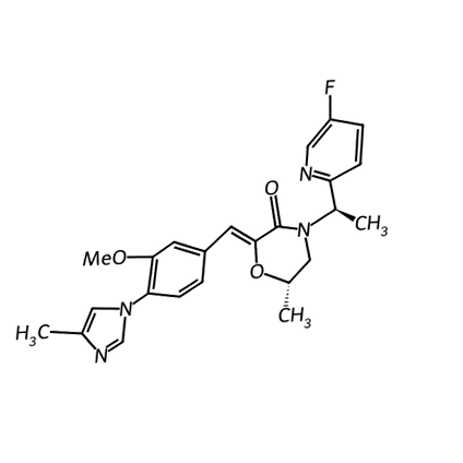 COc1cc(/C=C2\O[C@@H](C)CN([C@H](C)c3ccc(F)cn3)C2=O)ccc1-n1cnc(C)c1